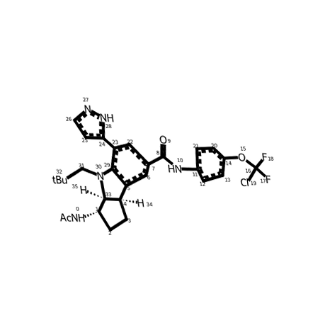 CC(=O)N[C@H]1CC[C@@H]2c3cc(C(=O)Nc4ccc(OC(F)(F)Cl)cc4)cc(-c4ccn[nH]4)c3N(CC(C)(C)C)[C@H]12